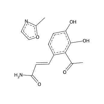 CC(=O)c1c(C=CC(N)=O)ccc(O)c1O.Cc1ncco1